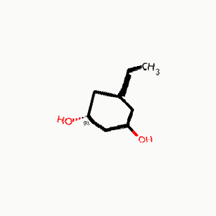 CC=C1CC(O)C[C@H](O)C1